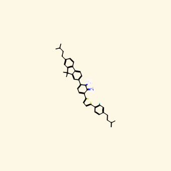 CC(C)CCc1ccc(-c2ccc(-c3ccc(-c4ccc5c(c4)C(C)(C)c4cc(CCC(C)C)ccc4-5)c4nsnc34)s2)c(F)c1